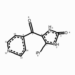 CC(C)c1[nH]c(=O)[nH]c1C(=O)c1ccncc1